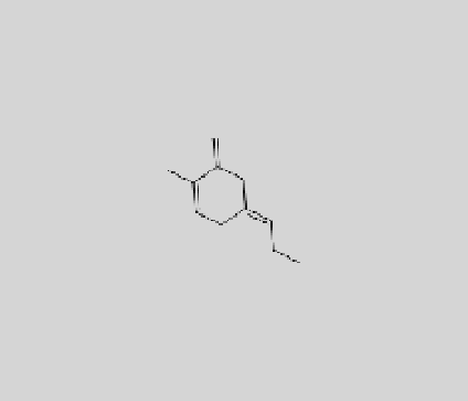 C=C1CC(=CCC)CC=C1C